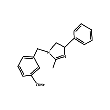 COc1cccc(CN2CC(c3ccccc3)N=C2C)c1